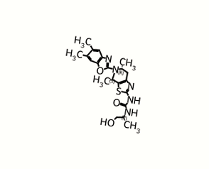 Cc1cc2nc(N3[C@H](C)Cc4nc(NC(=O)N[C@H](C)CO)sc4[C@@H]3C)oc2cc1C